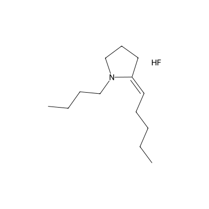 CCCCC=C1CCCN1CCCC.F